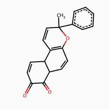 CC1(c2ccccc2)C=CC2=C(C=CC3C(=O)C(=O)C=CC23)O1